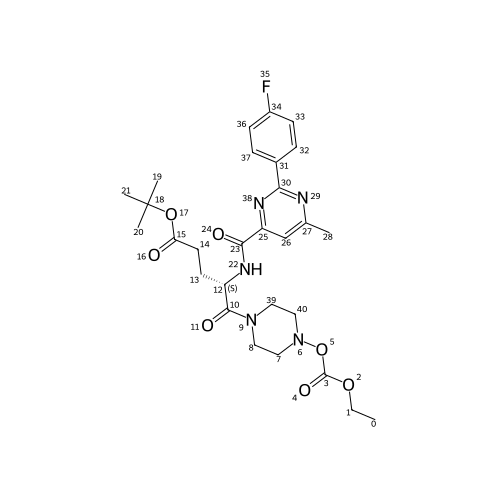 CCOC(=O)ON1CCN(C(=O)[C@H](CCC(=O)OC(C)(C)C)NC(=O)c2cc(C)nc(-c3ccc(F)cc3)n2)CC1